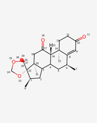 C[C@@H]1CC2C3C[C@H](C)C4=CC(=O)CC[C@]4(C)[C@H]3C(=O)C[C@]2(C)[C@@]12OCOC21COCO1